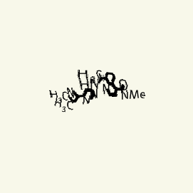 CNC(=O)c1ccnc2c([C@H](C)CNc3cc(-c4cnc(C)c(C)c4)ncn3)cccc12